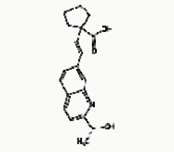 C[C@@H](O)c1ccc2ccc(/C=C/C3(C(=O)O)CCCC3)cc2n1